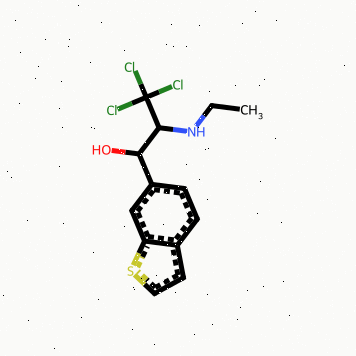 CCNC(C(O)c1ccc2ccsc2c1)C(Cl)(Cl)Cl